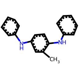 Cc1cc(Nc2ccccc2)ccc1Nc1ccccc1